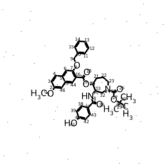 COc1ccc2cc(OCc3ccccc3)c(C(=O)O[C@@H]3CCCN(C(=O)OC(C)(C)C)C[C@H]3NC(=O)c3ccc(O)cc3)cc2c1